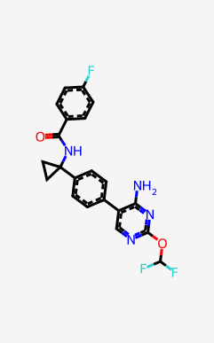 Nc1nc(OC(F)F)ncc1-c1ccc(C2(NC(=O)c3ccc(F)cc3)CC2)cc1